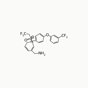 NCC1=C[N+](c2ccc(Oc3cccc(C(F)(F)F)c3)cc2)(S(=O)(=O)CC(F)(F)F)CC=C1